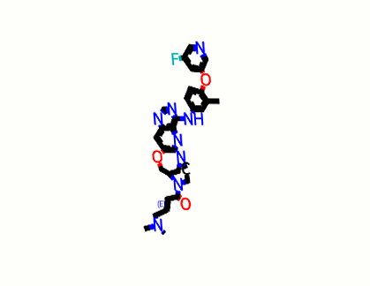 Cc1cc(Nc2ncnc3cc4c(nc23)N2CCN(C(=O)/C=C/CN(C)C)C(CO4)C2)ccc1Oc1cncc(F)c1